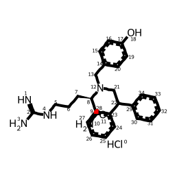 Cl.N=C(N)NCCC[C@H](C(N)=O)N(Cc1ccc(O)cc1)CC(c1ccccc1)c1ccccc1